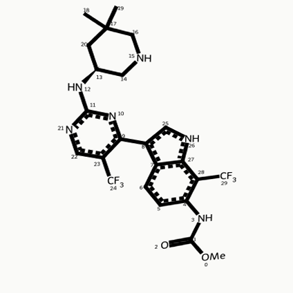 COC(=O)Nc1ccc2c(-c3nc(N[C@@H]4CNCC(C)(C)C4)ncc3C(F)(F)F)c[nH]c2c1C(F)(F)F